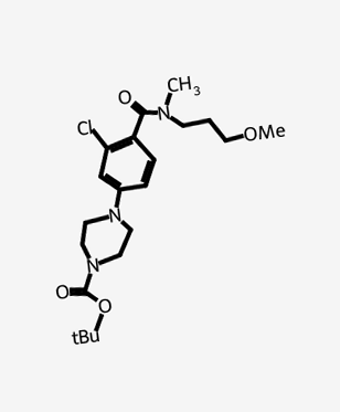 COCCCN(C)C(=O)c1ccc(N2CCN(C(=O)OC(C)(C)C)CC2)cc1Cl